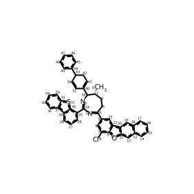 C[C@@H]1CC/C(c2cc(Cl)c3oc4cc5ccccc5cc4c3c2)=N\C(c2cccc3c2sc2ccccc23)=N/C1C1=CCC(c2ccccc2)C=C1